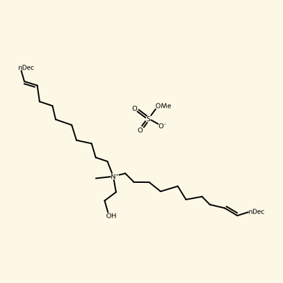 CCCCCCCCCCC=CCCCCCCCC[N+](C)(CCO)CCCCCCCCC=CCCCCCCCCCC.COS(=O)(=O)[O-]